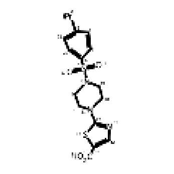 CC(C)c1ccc(S(=O)(=O)N2CCN(c3ncc(C(=O)O)s3)CC2)cc1